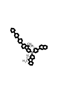 CC1(C)c2ccccc2-c2ccc(N(c3ccc(-c4ccc5ccccc5c4)cc3)c3ccc4c(c3)C(C)(C)c3cc(-c5ccc(-c6ccc(-c7ccccc7)cc6)cc5)ccc3-4)cc21